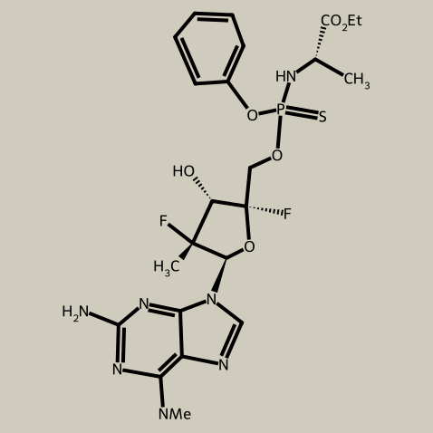 CCOC(=O)[C@H](C)NP(=S)(OC[C@@]1(F)O[C@@H](n2cnc3c(NC)nc(N)nc32)[C@](C)(F)[C@@H]1O)Oc1ccccc1